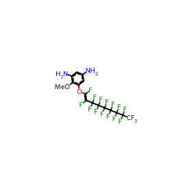 COc1c(N)cc(N)cc1OC(F)=C(F)C(F)(F)C(F)(F)C(F)(F)C(F)(F)C(F)(F)C(F)(F)C(F)(F)F